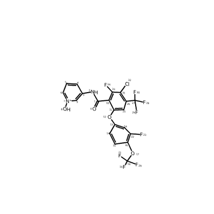 O=C(Nc1ccc[n+](O)c1)c1c(Oc2ccc(OC(F)(F)F)c(F)c2)cc(C(F)(F)F)c(Cl)c1F